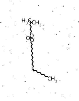 CCCCCCCC/C=C\CCCCCCCCCCCCOC(=O)OCCCCCC(C)C